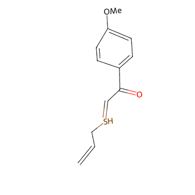 C=CC[SH]=CC(=O)c1ccc(OC)cc1